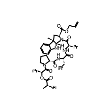 C=CCOC(=O)[C@@H]1C[C@@]2(C)c3ccccc3N[C@H]2N1C(=O)[C@H](NC(=O)[C@H](CC(C)C)NC(=O)[C@H]1CCCN1C(=O)[C@@H](OC(=O)[C@H](C)C(C)C)C(C)C)C(C)C